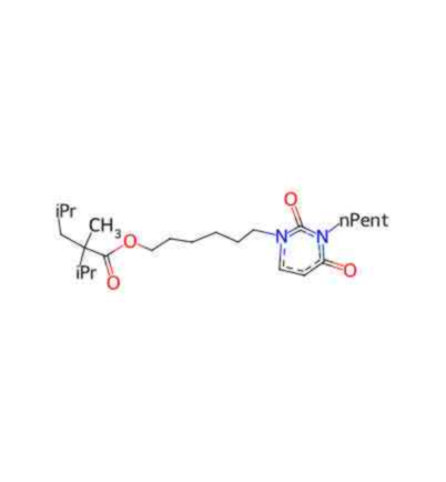 CCCCCn1c(=O)ccn(CCCCCCOC(=O)C(C)(CC(C)C)C(C)C)c1=O